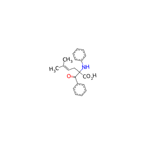 CC(C)=CCC(Nc1ccccc1)(C(=O)O)C(=O)c1ccccc1